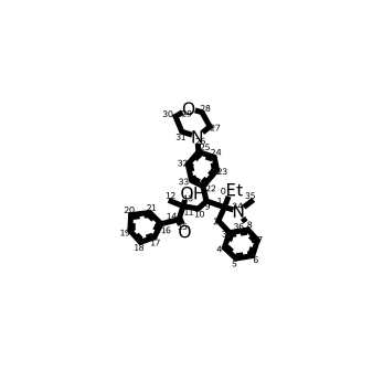 CCC(Cc1ccccc1)(C(CC(C)(O)C(=O)c1ccccc1)c1ccc(N2CCOCC2)cc1)N(C)C